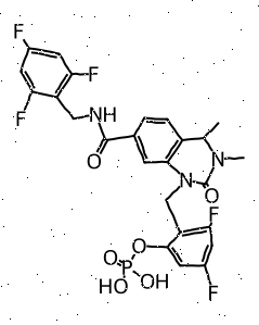 CC1c2ccc(C(=O)NCc3c(F)cc(F)cc3F)cc2N(Cc2c(F)cc(F)cc2OP(=O)(O)O)C(=O)N1C